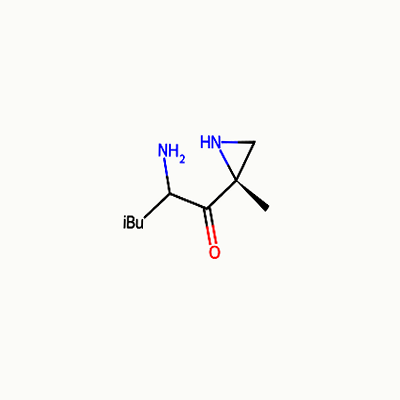 CCC(C)C(N)C(=O)[C@@]1(C)CN1